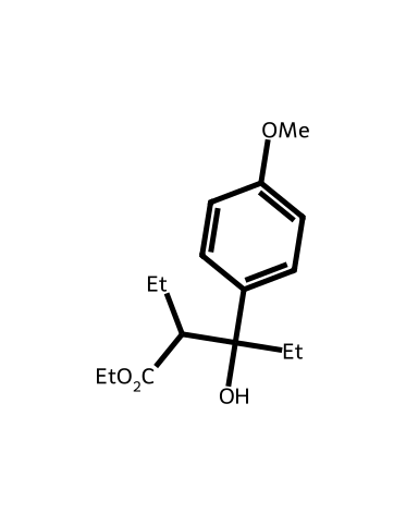 CCOC(=O)C(CC)C(O)(CC)c1ccc(OC)cc1